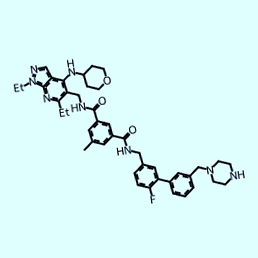 CCc1nc2c(cnn2CC)c(NC2CCOCC2)c1CNC(=O)c1cc(C)cc(C(=O)NCc2ccc(F)c(-c3cccc(CN4CCNCC4)c3)c2)c1